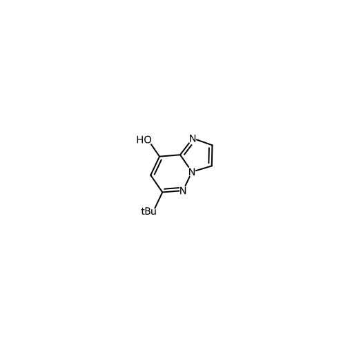 CC(C)(C)c1cc(O)c2nccn2n1